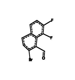 O=Cc1c(Br)ccc2ccc(F)c(F)c12